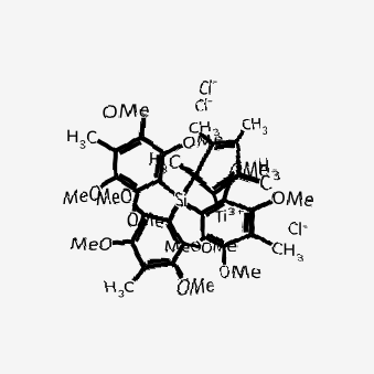 COc1c(C)c(OC)c(OC)c([Si](c2c(OC)c(OC)c(C)c(OC)c2OC)(c2c(OC)c(OC)c(C)c(OC)c2OC)C2(C)C(C)=C(C)C(C)=[C]2[Ti+3])c1OC.[Cl-].[Cl-].[Cl-]